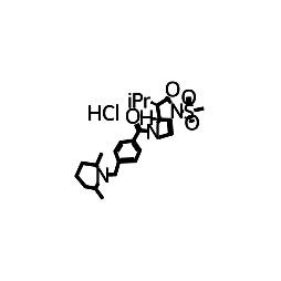 CC(C)[C@H]1C(=O)N(S(C)(=O)=O)C2=CCN(C(=O)c3ccc(CN4C(C)CCCC4C)cc3)[C@@H]21.Cl